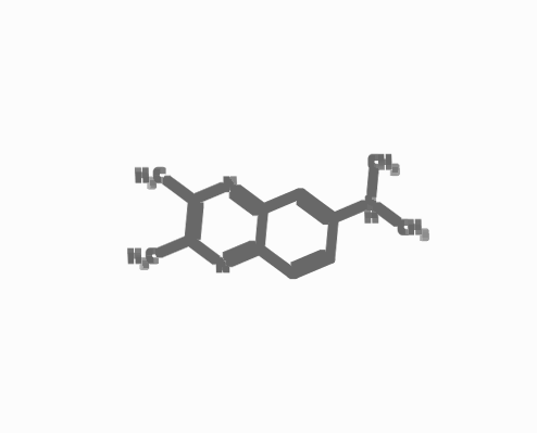 Cc1nc2ccc([SH](C)C)cc2nc1C